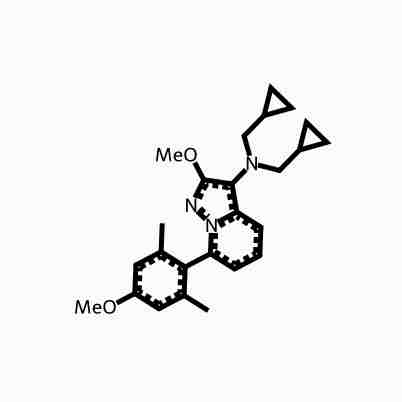 COc1cc(C)c(-c2cccc3c(N(CC4CC4)CC4CC4)c(OC)nn23)c(C)c1